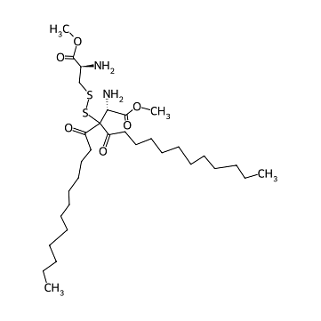 CCCCCCCCCCCC(=O)C(SSC[C@H](N)C(=O)OC)(C(=O)CCCCCCCCCCC)[C@H](N)C(=O)OC